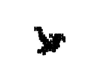 CC(C)(C)OC(=O)N[C@@H]1CCCN(C(=O)c2cc(-c3ccc(C#N)c(F)c3)n(-c3ccc(N4CCC(OCCCO)CC4)cc3)n2)C1